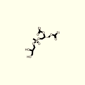 CCC(=O)OC[C@H](COP(C)(=O)OCC(O)CO)OC(=O)CC